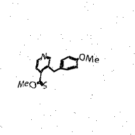 COC(=S)c1ccncc1Cc1ccc(OC)cc1